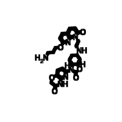 NCCCOc1ccc2ccc(=O)n(CCN[C@H]3CC[C@H]4[C@@H](C3)OC(=O)N4c3ccc4c(n3)NC(=O)CO4)c2n1